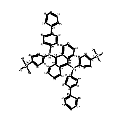 C[Si](C)(C)c1ccc(N(c2ccc(-c3ccccc3)cc2)c2c3ccccc3c(N(c3ccc(-c4ccccc4)cc3)c3ccc([Si](C)(C)C)cc3)c3ccccc23)cc1